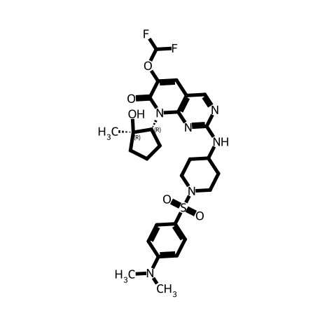 CN(C)c1ccc(S(=O)(=O)N2CCC(Nc3ncc4cc(OC(F)F)c(=O)n([C@@H]5CCC[C@@]5(C)O)c4n3)CC2)cc1